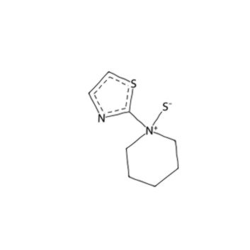 [S-][N+]1(c2nccs2)CCCCC1